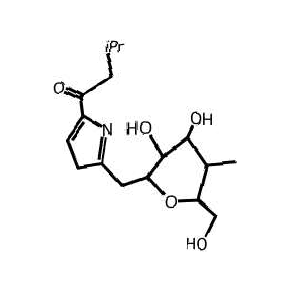 CC(C)CC(=O)C1=CCC(CC2OC(CO)C(C)C(O)C2O)=N1